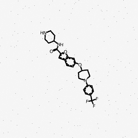 O=C(NC1CCNCC1)c1cc2ccc(OC3CCN(c4ccc(C(F)(F)F)cc4)CC3)cc2o1